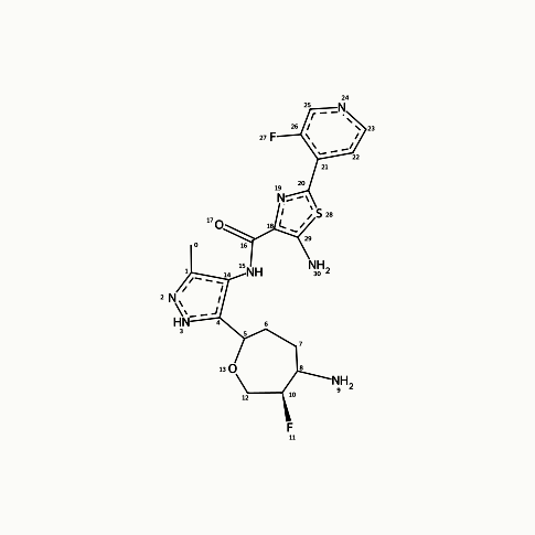 Cc1n[nH]c(C2CCC(N)[C@@H](F)CO2)c1NC(=O)c1nc(-c2ccncc2F)sc1N